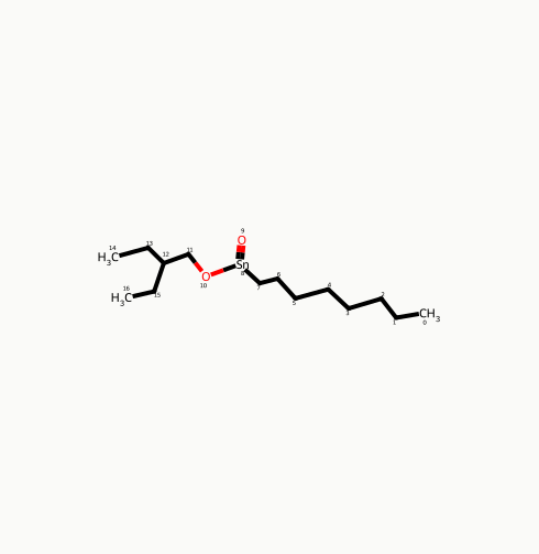 CCCCCCC[CH2][Sn](=[O])[O]CC(CC)CC